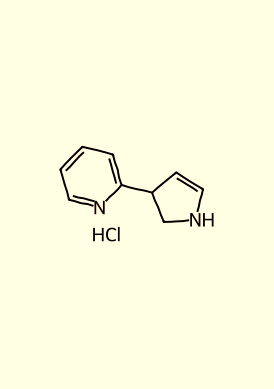 C1=CC(c2ccccn2)CN1.Cl